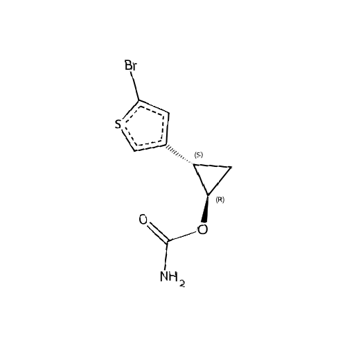 NC(=O)O[C@@H]1C[C@H]1c1csc(Br)c1